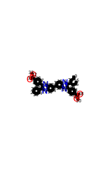 C=C/C=C(\C=C/C)c1nc2ccc(-c3ccc4nc(-c5ccccc5)c(-c5ccc(C(=O)OC)cc5)nc4c3)cc2nc1-c1ccc(C(=O)OC)cc1